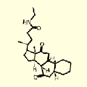 CCNC(=O)CC[C@H](C)[C@@H]1CC[C@@H]2[C@H]3C(=O)C[C@H]4CCCC[C@@]4(C)[C@@H]3CC(=O)[C@]21C